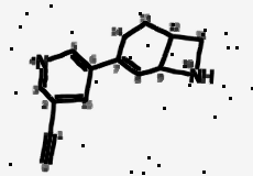 C#Cc1cncc(C2=CC3NCC3CC2)c1